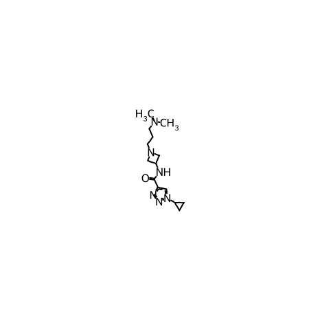 CN(C)CCCN1CC(NC(=O)c2cn(C3CC3)nn2)C1